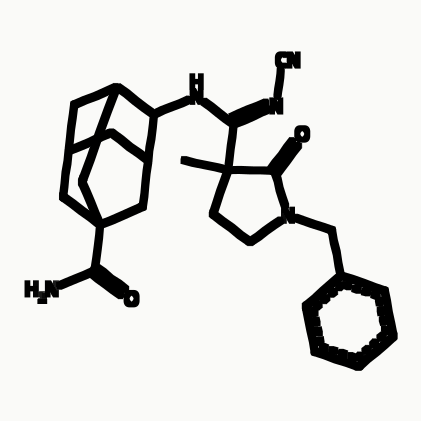 CC1(/C(=N/C#N)NC2C3CC4CC2CC(C(N)=O)(C4)C3)CCN(Cc2ccccc2)C1=O